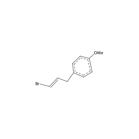 COc1ccc(CC=CBr)cc1